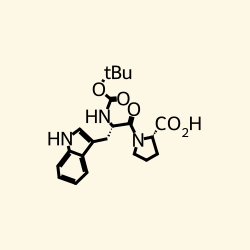 CC(C)(C)OC(=O)N[C@@H](Cc1c[nH]c2ccccc12)C(=O)N1CCC[C@H]1C(=O)O